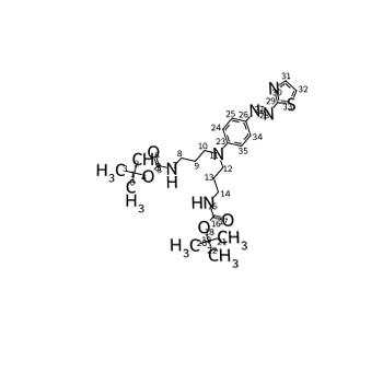 CC(C)(C)OC(=O)NCCCN(CCCNC(=O)OC(C)(C)C)c1ccc(N=Nc2nccs2)cc1